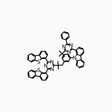 CC(C)(C)c1nc(-c2ccccc2)nc(-c2cccc3c4ccccc4n(-c4cccc(CC(C)(C)c5nc(-c6cccc7c6sc6ccccc67)nc(-c6cccc7c6sc6ccccc67)n5)c4)c23)n1